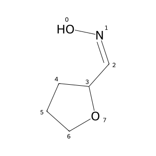 O/N=C\C1CCCO1